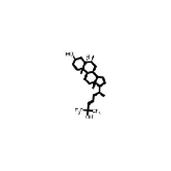 CC(C/C=C/C(O)(C(F)(F)F)C(F)(F)F)C1CCC2C3C[C@H](C)[C@@H]4C[C@H](O)CCC4(C)C3CCC12C